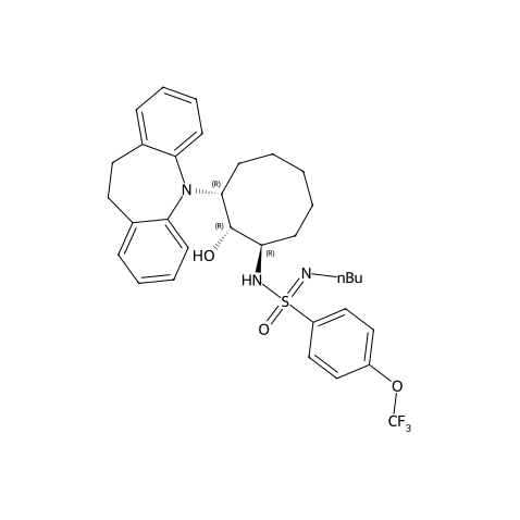 CCCCN=S(=O)(N[C@@H]1CCCCC[C@@H](N2c3ccccc3CCc3ccccc32)[C@H]1O)c1ccc(OC(F)(F)F)cc1